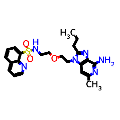 CCCc1nc2c(N)nc(C)cc2n1CCOCCNS(=O)(=O)c1cccc2cccnc12